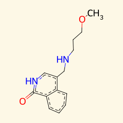 COCCCNCc1c[nH]c(=O)c2ccccc12